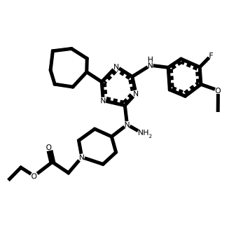 CCOC(=O)CN1CCC(N(N)c2nc(Nc3ccc(OC)c(F)c3)nc(C3CCCCCC3)n2)CC1